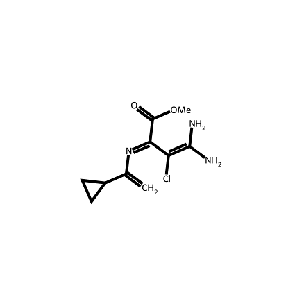 C=C(/N=C(/C(=O)OC)C(Cl)=C(N)N)C1CC1